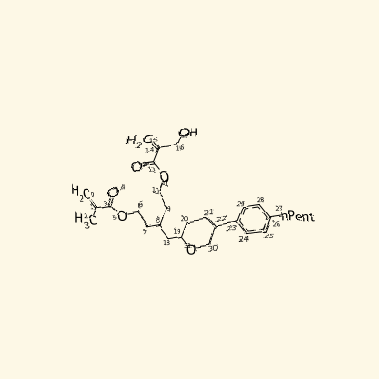 C=C(C)C(=O)OCCC(CCOC(=O)C(=C)CO)CC1CCC(c2ccc(CCCCC)cc2)CO1